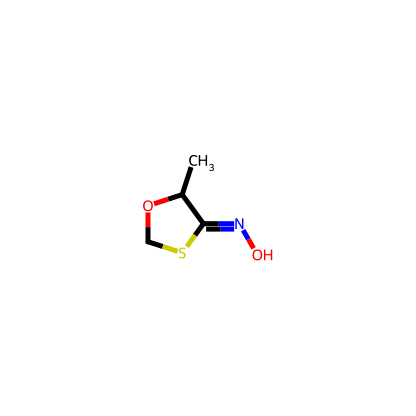 CC1OCS/C1=N\O